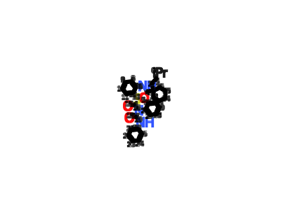 CC(C)CCC1(C(=O)Nc2ccccc2SC(=O)N(C(=O)Nc2ccccc2)c2ccccc2)CCCCC1